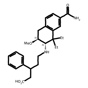 CCC1(CC)c2cc(C(N)=O)ccc2C[C@H](OC)[C@H]1NCCC(CC(=O)O)c1ccccc1